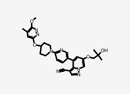 COc1nnc(OC2CCN(c3ccc(-c4cc(OCC(C)(C)O)cn5ncc(C#N)c45)cn3)CC2)cc1C